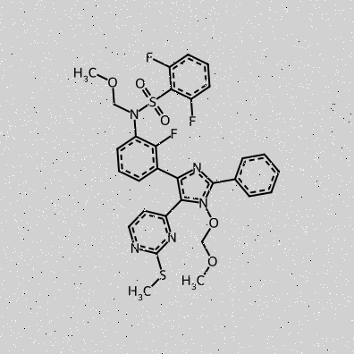 COCOn1c(-c2ccccc2)nc(-c2cccc(N(COC)S(=O)(=O)c3c(F)cccc3F)c2F)c1-c1ccnc(SC)n1